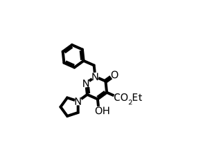 CCOC(=O)c1c(O)c(N2CCCC2)nn(Cc2ccccc2)c1=O